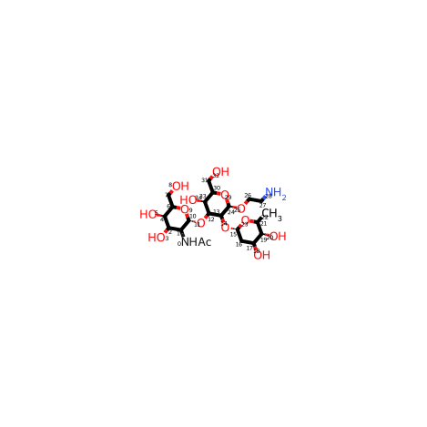 CC(=O)NC1C(O)[C@@H](O)C(CO)O[C@@H]1OC1C(O[C@H]2CC(O)[C@H](O)C(C)O2)[C@H](OCCN)OC(CO)[C@@H]1O